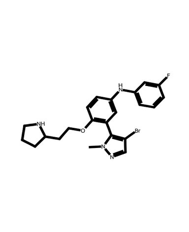 Cn1ncc(Br)c1-c1cc(Nc2cccc(F)c2)ccc1OCCC1CCCN1